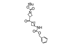 CC(C)(C)OC(=O)N1CC(C(=O)C23CC(NC(=O)OCc4ccccc4)(C2)C3)C1